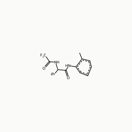 Cc1ccccc1NC(=O)C(NC(=O)C(F)(F)F)C(C)C